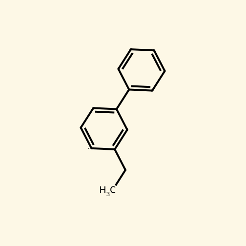 CCc1[c]ccc(-c2ccccc2)c1